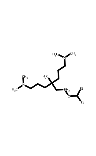 CCC(CC)O[SiH2]CC(C)(CCCN(C)C)CCCN(C)C